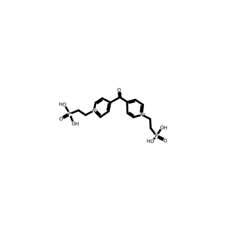 O=C(c1cc[n+](CCP(=O)(O)O)cc1)c1cc[n+](CCP(=O)(O)O)cc1